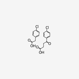 O=C(O)CCC(=O)c1ccc(Cl)cc1.O=C(O)Cc1ccc(Cl)cc1